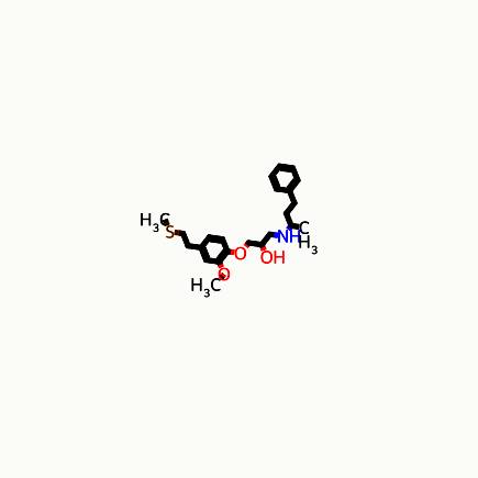 COc1cc(CCSC)ccc1OCC(O)CNC(C)CCc1ccccc1